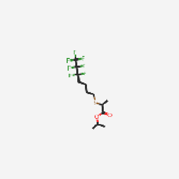 CC(C)OC(=O)C(C)SCCCCC(F)(F)C(F)(F)C(F)(F)F